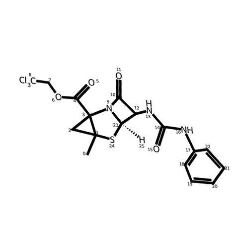 CC12CC1(C(=O)OCC(Cl)(Cl)Cl)N1C(=O)C(NC(=O)Nc3ccccc3)[C@H]1S2